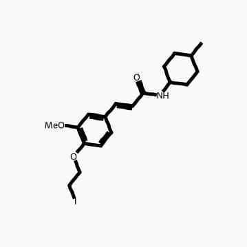 COc1cc(C=CC(=O)NC2CCC(C)CC2)ccc1OCCI